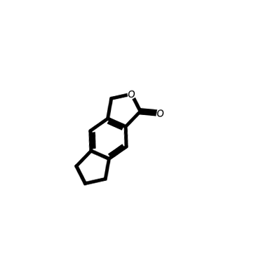 O=C1OCc2cc3c(cc21)CCC3